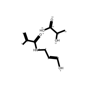 C=C(C)C(=O)NCC=CO.CC(O)C(=O)O